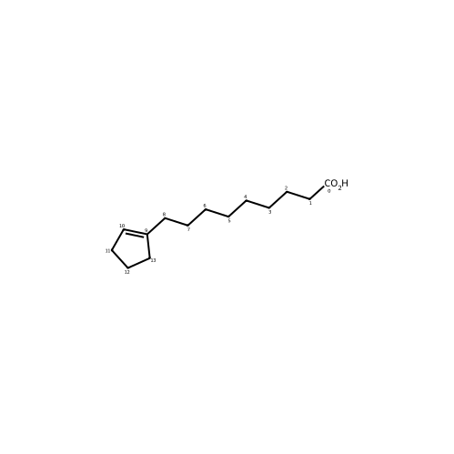 O=C(O)CCCCCCCCC1=CCCC1